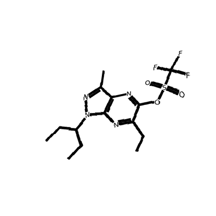 CCc1nc2c(nc1OS(=O)(=O)C(F)(F)F)c(C)nn2C(CC)CC